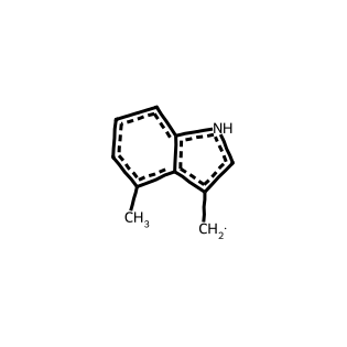 [CH2]c1c[nH]c2cccc(C)c12